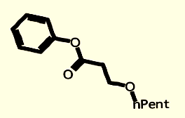 CCCCCOCCC(=O)Oc1ccccc1